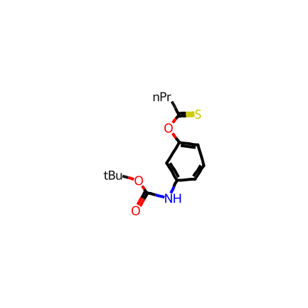 CCCC(=S)Oc1cccc(NC(=O)OC(C)(C)C)c1